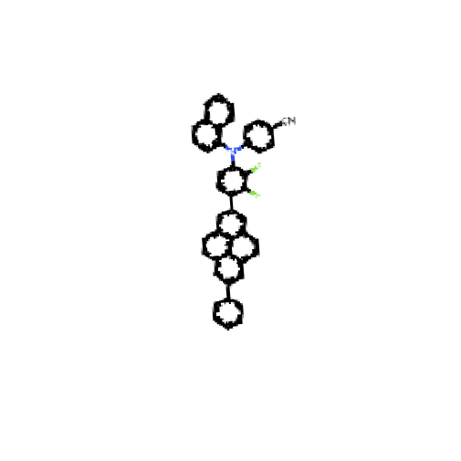 N#Cc1ccc(N(c2ccc(-c3cc4ccc5cc(-c6ccccc6)cc6ccc(c3)c4c56)c(F)c2F)c2cccc3ccccc23)cc1